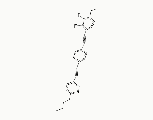 CCCCc1ccc(C#Cc2ccc(C#Cc3ccc(CC)c(F)c3F)cc2)cc1